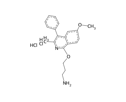 COc1ccc2c(OCCCN)nc(C)c(-c3ccccc3)c2c1.Cl.Cl